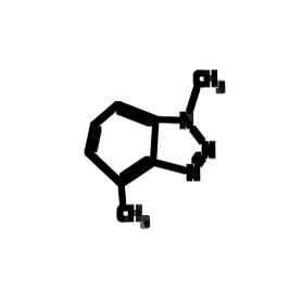 Cc1cccc2c1nnn2C